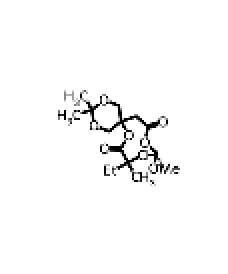 CCC(C)(C)C(=O)OC1(CC(=O)OCOC)COC(C)(C)OC1